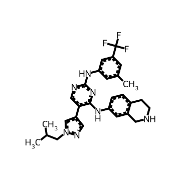 Cc1cc(Nc2ncc(-c3cnn(CC(C)C)c3)c(Nc3ccc4c(c3)CNCC4)n2)cc(C(F)(F)F)c1